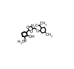 COc1cccc(C2OCC(COC3CC(C)CCC3C(C)C)O2)c1O